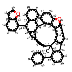 CC12c3ccc4c(c5ccccc5c(-c5cccc6ccoc56)c4c3)-c3cccc4oc5cc(c1cc5c34)-c1cccc(-c3ccccc3)c12